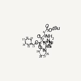 CC(C)(C)OC(=O)CC(N)C(=O)C(C(=O)OCc1ccccc1)n1nnnc1N1CCCCC1